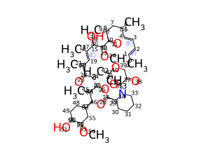 C/C=C/C=C/[C@@H](C)C[C@@H](C)C(=O)[C@H](OC)[C@H](O)/C(C)=C/[C@@H](C)C(=O)C[C@H](OC(=O)[C@@H]1CCCCN1C(=O)C(=O)COC(C)C)[C@H](C)C[C@@H]1CC[C@@H](O)[C@H](OC)C1